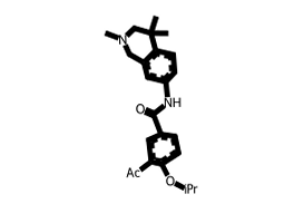 CC(=O)c1cc(C(=O)Nc2ccc3c(c2)CN(C)CC3(C)C)ccc1OC(C)C